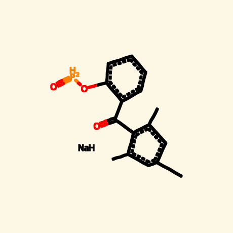 Cc1cc(C)c(C(=O)c2ccccc2O[PH2]=O)c(C)c1.[NaH]